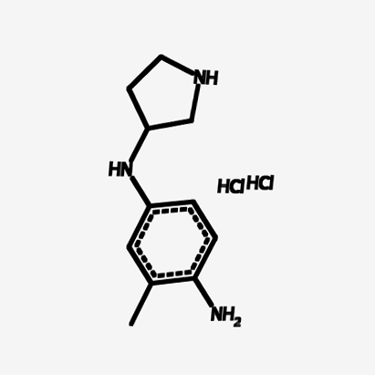 Cc1cc(NC2CCNC2)ccc1N.Cl.Cl